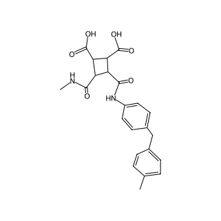 CNC(=O)C1C(C(=O)O)C(C(=O)O)C1C(=O)Nc1ccc(Cc2ccc(C)cc2)cc1